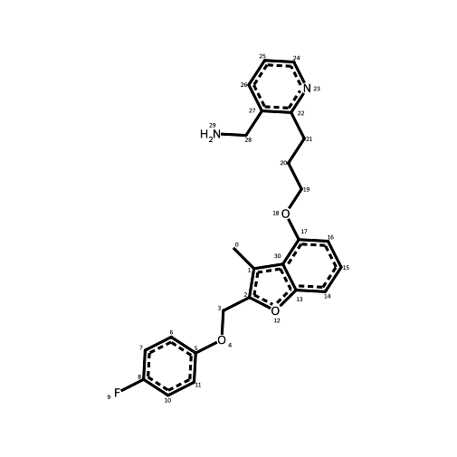 Cc1c(COc2ccc(F)cc2)oc2cccc(OCCCc3ncccc3CN)c12